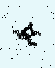 COCCOCCn1nc(C)c2c1CSCc1cc(n(C)n1)CCc1cc(c3ccc(F)c(F)c3c1)OCCCn1c(C(=O)O)c(C)c3c-2c(Cl)ccc31